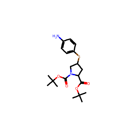 CC(C)(C)OC(=O)C1CC(Sc2ccc(N)cc2)CN1C(=O)OC(C)(C)C